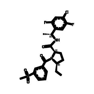 CC[C@@H]1CC[C@H](C(=O)N[C@H](C)c2cc(F)c(Cl)cc2F)N1C(=O)c1cccc(S(C)(=O)=O)c1